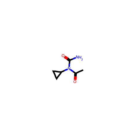 CC(=O)N(C(N)=O)C1CC1